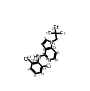 CCC(F)(F)Cn1ccc2c(Nc3c(Cl)cccc3Cl)nccc21